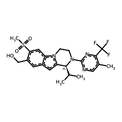 Cc1cnc(N2CCn3c(cc4cc(CO)c(S(C)(=O)=O)cc43)[C@@H]2C(C)C)nc1C(F)(F)F